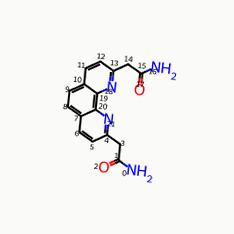 NC(=O)Cc1ccc2ccc3ccc(CC(N)=O)nc3c2n1